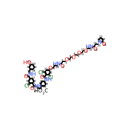 O=C(CCOCCOCCOCCOCCNC(=O)CCN1CC=CC1=O)NCCCOc1cc(Cl)c(C(=O)Nc2ccc(CC(NC(=O)c3ccc(C(=O)NCc4cccc(O)c4)cc3Cl)C(=O)O)cc2)c(Cl)c1